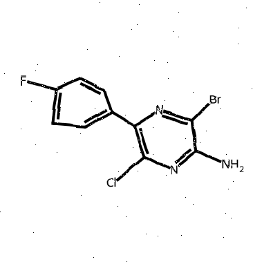 Nc1nc(Cl)c(-c2ccc(F)cc2)nc1Br